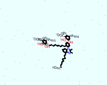 CCCCCCCCCCCCCCC=CCCCc1ccccc1N=C(C)C(C)=Nc1ccccc1CCCC=CCCCCCCCCCCCCCC.CCCCCc1cc(O)c(O)c(C(=O)[O-])c1CCC.CCCCCc1cc(O)c(O)c(C(=O)[O-])c1CCC.[Ni+2]